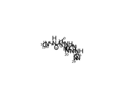 Cc1cc(C(=O)NCCN2CCCC2)sc1Nc1nn(C)c2nc(Nc3cnn(C)c3)ncc12